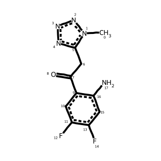 Cn1nnnc1CC(=O)c1cc(F)c(F)cc1N